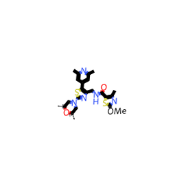 COc1nc(C)c(C(=O)NCc2nc(N3C[C@@H](C)O[C@@H](C)C3)sc2-c2cc(C)nc(C)c2)s1